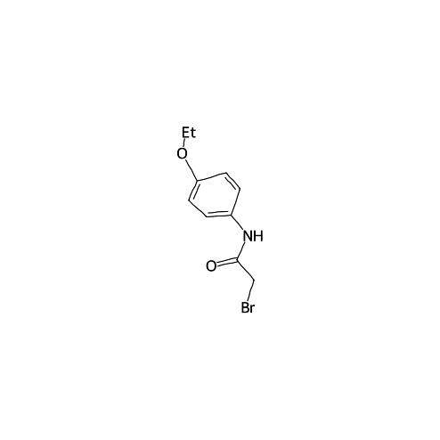 CCOc1ccc(NC(=O)CBr)cc1